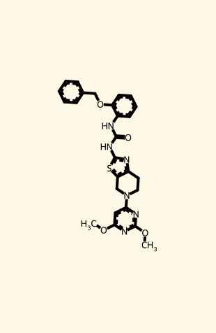 COc1cc(N2CCc3nc(NC(=O)Nc4ccccc4OCc4ccccc4)sc3C2)nc(OC)n1